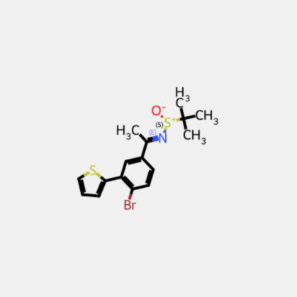 C/C(=N\[S@+]([O-])C(C)(C)C)c1ccc(Br)c(-c2cccs2)c1